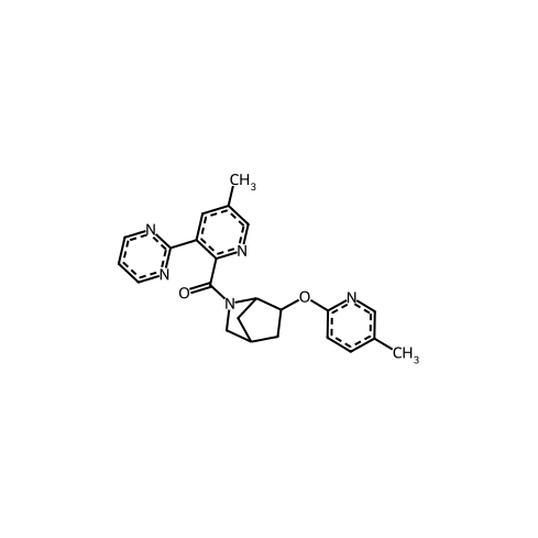 Cc1ccc(OC2CC3CC2N(C(=O)c2ncc(C)cc2-c2ncccn2)C3)nc1